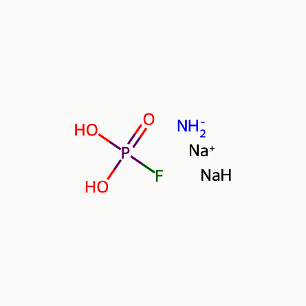 O=P(O)(O)F.[NH2-].[Na+].[NaH]